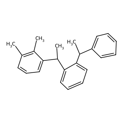 Cc1cccc(C(C)c2ccccc2C(C)c2ccccc2)c1C